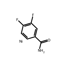 NC(=O)c1ccc(F)c(F)c1.[Ni]